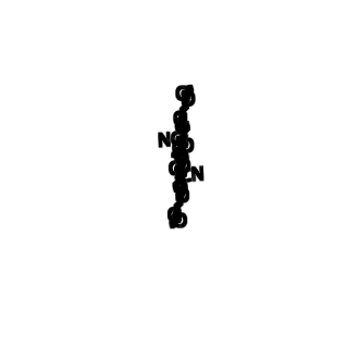 C=CC(=O)OCCCCOc1ccc(/C=C(\C#N)C(=O)Oc2ccc(OC(=O)/C(C#N)=C/c3ccc(OCCCCOC(=O)C=C)cc3)c(C)c2)cc1